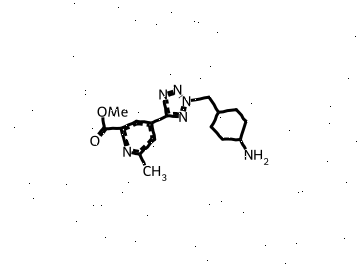 COC(=O)c1cc(-c2nnn(CC3CCC(N)CC3)n2)cc(C)n1